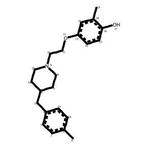 Cc1ccc(CC2CCN(CCOc3ccc(O)c(C)c3)CC2)cc1